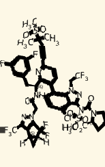 CC(C)(C#Cc1ccc(-c2ccc(Cl)c3c(N(C(=O)N4CCC[C@H]4C(=O)O)S(C)(=O)=O)nn(CC(F)(F)F)c23)c([C@H](Cc2cc(F)cc(F)c2)NC(=O)Cn2nc(C(F)(F)F)c3c2C(F)(F)[C@@H]2C[C@H]32)n1)S(C)(=O)=O